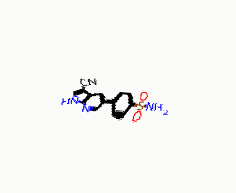 N#Cc1c[nH]c2ncc(-c3ccc(S(N)(=O)=O)cc3)cc12